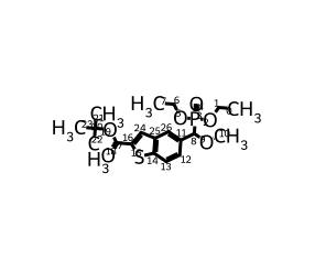 CCOP(=O)(OCC)C(OC)c1ccc2sc(C(=O)OC(C)(C)C)cc2c1